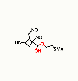 CSCCOC(O)C1(N=O)CC(N=O)C1CN=O